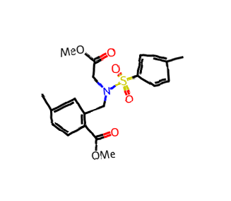 COC(=O)CN(Cc1cc(C)ccc1C(=O)OC)S(=O)(=O)c1ccc(C)cc1